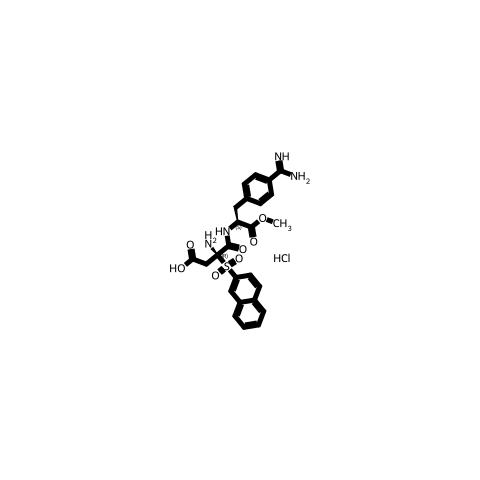 COC(=O)[C@H](Cc1ccc(C(=N)N)cc1)NC(=O)[C@@](N)(CC(=O)O)S(=O)(=O)c1ccc2ccccc2c1.Cl